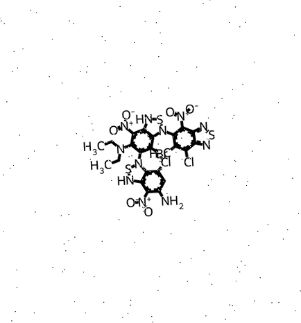 CCN(CC)c1c(N2SNc3c2c(Cl)cc(N)c3[N+](=O)[O-])c(Br)c2c(c1[N+](=O)[O-])NSN2c1c(C)c(Cl)c2nsnc2c1[N+](=O)[O-]